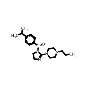 CCCN1CCN(C2=NCCN2[S+]([O-])c2ccc(C(C)C)cc2)CC1